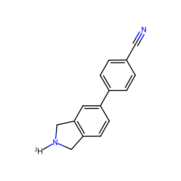 [2H]N1Cc2ccc(-c3ccc(C#N)cc3)cc2C1